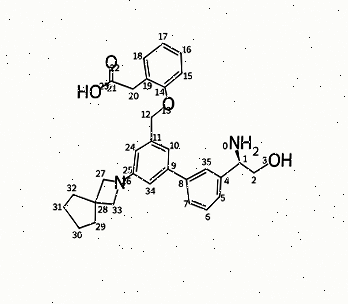 N[C@@H](CO)c1cccc(-c2cc(COc3ccccc3CC(=O)O)cc(N3CC4(CCCC4)C3)c2)c1